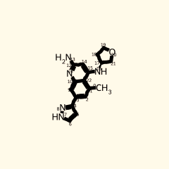 Cc1cc(-c2cc[nH]n2)cc2nc(N)cc(N[C@H]3CCOC3)c12